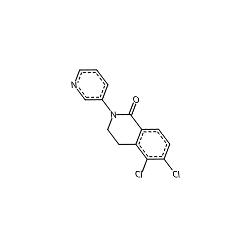 O=C1c2ccc(Cl)c(Cl)c2CCN1c1cccnc1